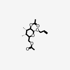 C=CCO[C@@H]1OC(COC(C)=O)[C@H](C)[C@H](C)C1OC(C)=O